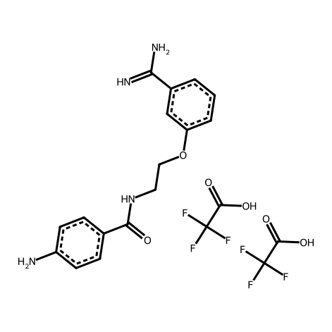 N=C(N)c1cccc(OCCNC(=O)c2ccc(N)cc2)c1.O=C(O)C(F)(F)F.O=C(O)C(F)(F)F